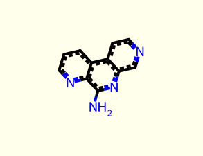 Nc1nc2cnccc2c2cccnc12